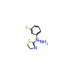 NN(C1=NCCS1)c1cccc(F)c1